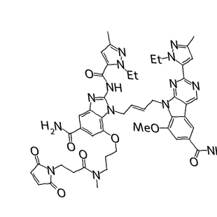 CCn1nc(C)cc1C(=O)Nc1nc2cc(C(N)=O)cc(OCCCN(C)C(=O)CCN3C(=O)C=CC3=O)c2n1C/C=C/Cn1c2nc(-c3cc(C)nn3CC)ncc2c2cc(C(N)=O)cc(OC)c21